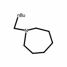 CCCCCN1[CH]CCCCC1